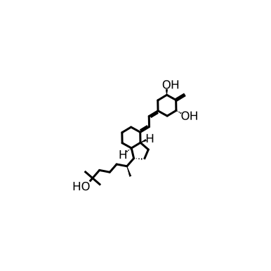 C=C1[C@H](O)CC(=C/C=C2\CCC[C@@H]3[C@@H]([C@@H](C)CCCC(C)(C)O)CC[C@@H]23)C[C@H]1O